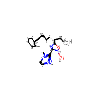 Cn1ccnc1C1=NC([C@H](CCCC2CCCCC2)CC(=O)O)ON1O